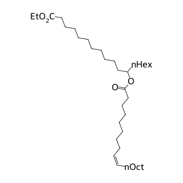 CCCCCCCC/C=C\CCCCCCCC(=O)OC(CCCCCC)CCCCCCCCCCC(=O)OCC